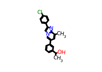 Cc1cc(-c2cccc(C(C)O)c2)cn2cc(-c3ccc(Cl)cc3)nc12